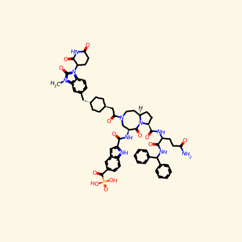 Cn1c(=O)n(C2CCC(=O)NC2=O)c2ccc(C[C@H]3CC[C@H](CC(=O)N4CC[C@H]5CC[C@@H](C(=O)NC(CCC(N)=O)C(=O)NC(c6ccccc6)c6ccccc6)N5C(=O)[C@@H](NC(=O)c5cc6cc(C(=O)P(=O)(O)O)ccc6[nH]5)C4)CC3)cc21